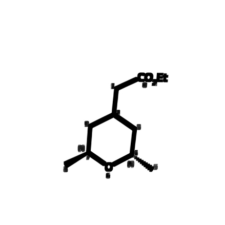 CCOC(=O)CC1C[C@H](C)O[C@@H](C)C1